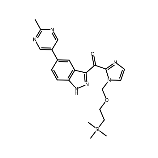 Cc1ncc(-c2ccc3[nH]nc(C(=O)c4nccn4COCC[Si](C)(C)C)c3c2)cn1